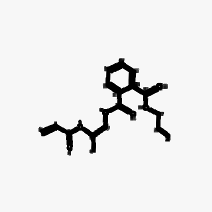 C=CC(=O)OC(C)COC(=O)c1ccccc1C(=O)OCCC